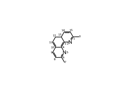 CC1=NC2=c3nc(C)ccc3=CCC2C=C1